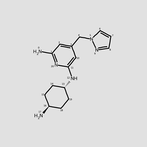 Nc1cc(Cn2cccn2)cc(N[C@H]2CC[C@H](N)CC2)n1